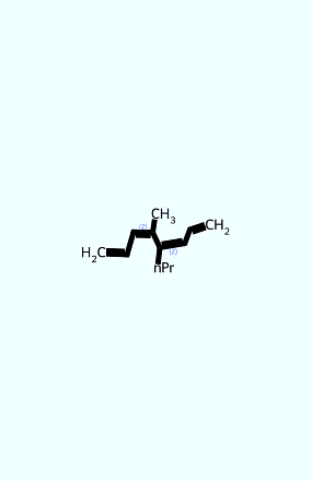 C=C/C=C(C)\C(=C/C=C)CCC